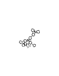 CC1(C)c2cc(-n3c4ccc(-c5ccccc5)cc4c4cc(-c5ccc6c(c5)c5ccccc5n6-c5ccccc5)ccc43)ccc2C2C=CC=CC21